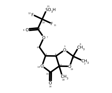 CC1(C)OC2C(COC(=O)C(F)(F)S(=O)(=O)O)OC(=O)C2(C)O1